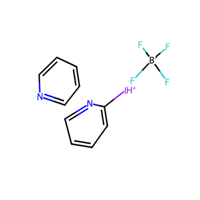 F[B-](F)(F)F.[IH+]c1ccccn1.c1ccncc1